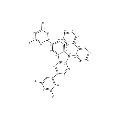 Cc1cc(C)cc(-c2ccc3c(c2)c2cc(-c4cc(C)cc(C)c4)ccc2n3-c2ccccc2-c2ncncn2)c1